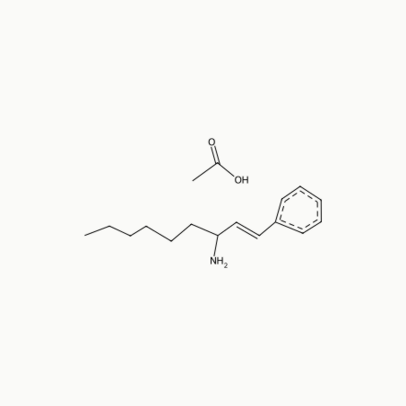 CC(=O)O.CCCCCCC(N)C=Cc1ccccc1